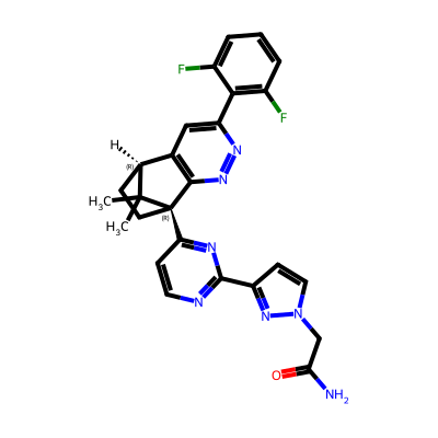 CC1(C)[C@H]2CC[C@@]1(c1ccnc(-c3ccn(CC(N)=O)n3)n1)c1nnc(-c3c(F)cccc3F)cc12